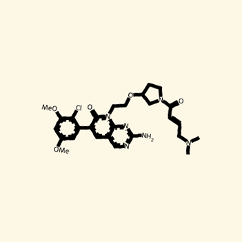 COc1cc(OC)c(Cl)c(-c2cc3cnc(N)nc3n(CCOC3CCN(C(=O)C=CCN(C)C)C3)c2=O)c1